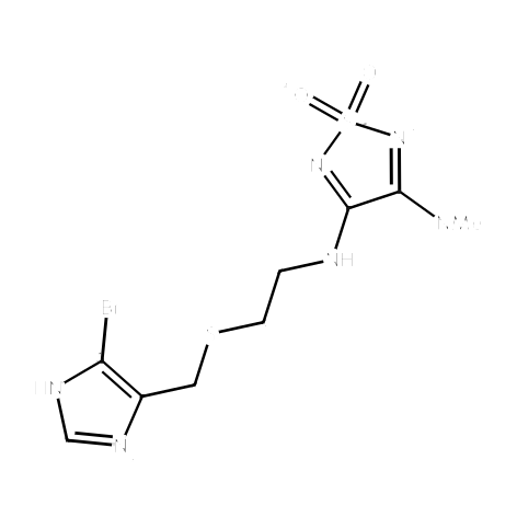 CNC1=NS(=O)(=O)N=C1NCCSCc1nc[nH]c1Br